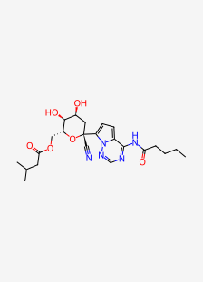 CCCCC(=O)Nc1ncnn2c([C@@]3(C#N)C[C@H](O)[C@H](O)[C@@H](COC(=O)CC(C)C)O3)ccc12